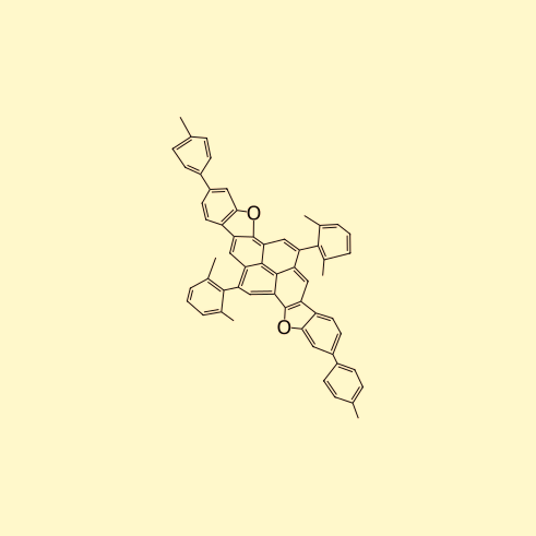 Cc1ccc(-c2ccc3c(c2)oc2c3cc3c(-c4c(C)cccc4C)cc4c5oc6cc(-c7ccc(C)cc7)ccc6c5cc5c(-c6c(C)cccc6C)cc2c3c54)cc1